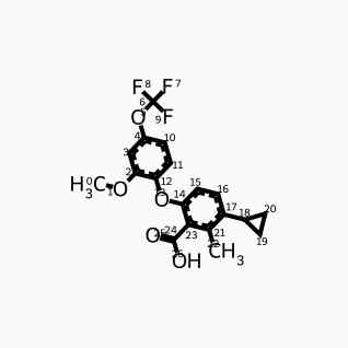 COc1cc(OC(F)(F)F)ccc1Oc1ccc(C2CC2)c(C)c1C(=O)O